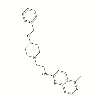 Cc1nccc2nc(NCCN3CCC(OCc4ccccc4)CC3)ccc12